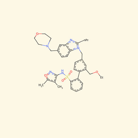 CCCc1nc2cc(CN3CCOCC3)ccc2n1Cc1ccc(-c2ccccc2S(=O)(=O)Nc2noc(C)c2C)c(COCC)c1